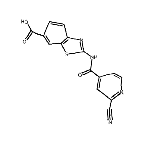 N#Cc1cc(C(=O)Nc2nc3ccc(C(=O)O)cc3s2)ccn1